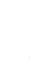 CC(=O)c1ccc(-c2c[nH]c3cc(C=O)ccc23)cc1